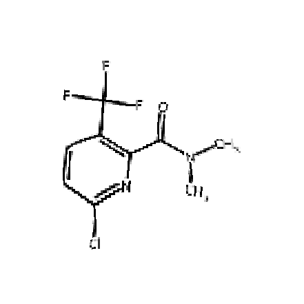 CN(C)C(=O)c1nc(Cl)ccc1C(F)(F)F